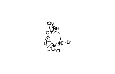 CC(C)(C)OC(=O)N[S@]1(=O)=NC(=O)c2ccc3c(c2)N(C[C@@H]2CC[C@H]2[C@@H](OCCBr)/C=C/CCC1)C[C@@]1(CCCc2cc(Cl)ccc21)CO3